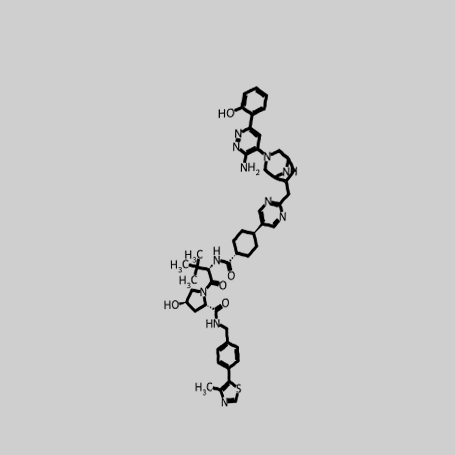 Cc1ncsc1-c1ccc(CNC(=O)[C@@H]2C[C@@H](O)CN2C(=O)[C@@H](NC(=O)[C@H]2CC[C@H](c3cnc(CC4CC5CN(c6cc(-c7ccccc7O)nnc6N)CC4N5)nc3)CC2)C(C)(C)C)cc1